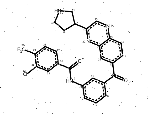 O=C(Nc1cccc(C(=O)c2ccc3ncc(C4CCNC4)nc3c2)c1)c1ccc(C(F)(F)F)c(Cl)c1